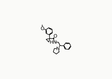 COc1cccc(C2(C(=O)NCC(c3ccccc3)N3CCCC3)CC2)c1